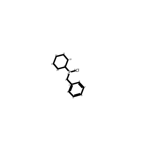 ClP(Cc1ccccc1)C1CCCCC1